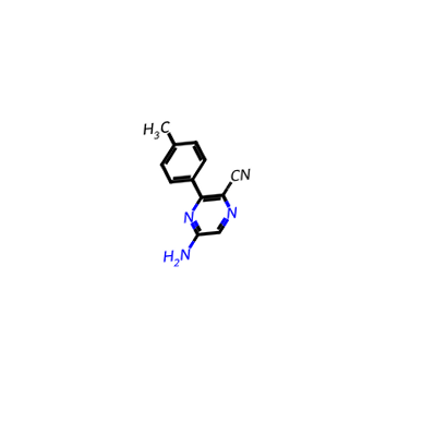 Cc1ccc(-c2nc(N)cnc2C#N)cc1